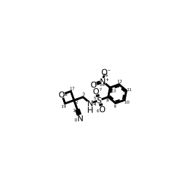 N#CC1(CNS(=O)(=O)c2ccccc2[N+](=O)[O-])COC1